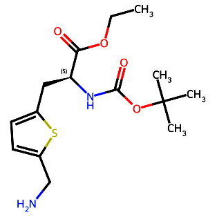 CCOC(=O)[C@H](Cc1ccc(CN)s1)NC(=O)OC(C)(C)C